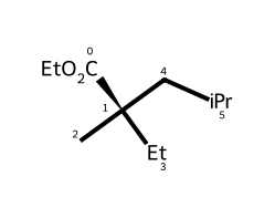 CCOC(=O)[C@](C)(CC)CC(C)C